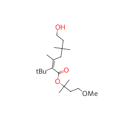 COCCC(C)(C)OC(=O)/C(=C(/C)CC(C)(C)CCO)C(C)(C)C